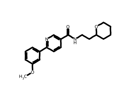 COc1cccc(-c2ccc(C(=O)NCCC3CCCCO3)cn2)c1